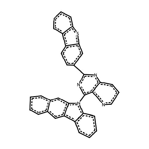 c1ccc2cc3c(cc2c1)c1ccccc1n3-c1nc(-c2ccc3c(c2)sc2ccccc23)nc2cccnc12